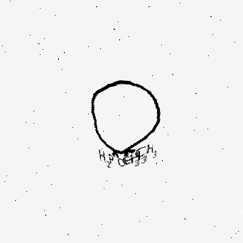 CC1(C)CCCCCCCCCCCCCCCCCC1(C)P